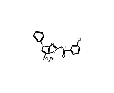 CCOC(=O)c1nn(-c2ccccc2)c2nc(NC(=O)c3cccc(Cl)c3)sc12